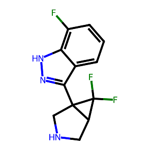 Fc1cccc2c(C34CNCC3C4(F)F)n[nH]c12